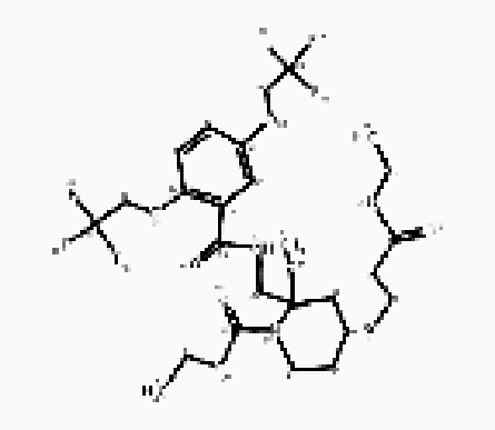 CCOC(=O)CCBr.CCOC(=O)N1CCCCC1(CC)CNC(=O)c1cc(OCC(F)(F)F)ccc1OCC(F)(F)F